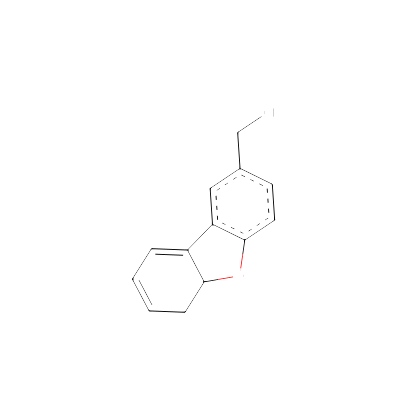 CCc1ccc2c(c1)C1=CC=CCC1O2